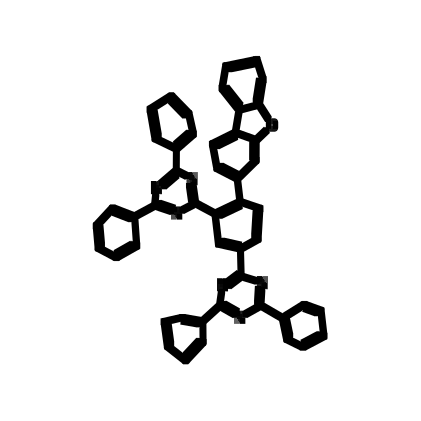 c1ccc(-c2nc(-c3ccccc3)nc(-c3ccc(-c4ccc5c(c4)oc4ccccc45)c(-c4nc(-c5ccccc5)nc(-c5ccccc5)n4)c3)n2)cc1